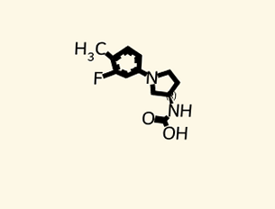 Cc1ccc(N2CC[C@@H](NC(=O)O)C2)cc1F